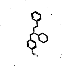 Nc1ccc(CN(CCc2ccccc2)C2CCCCC2)cc1